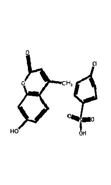 Cc1cc(=O)oc2cc(O)ccc12.O=S(=O)(O)c1ccc(Cl)cc1